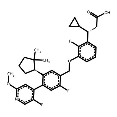 COc1cc(-c2cc(F)c(COc3cccc([C@@H](CC(=O)O)C4CC4)c3F)cc2[C@H]2CCCC2(C)C)c(F)cn1